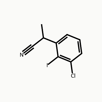 CC(C#N)c1cccc(Cl)c1I